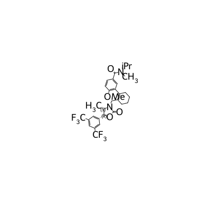 COc1ccc(C(=O)N(C)C(C)C)cc1C1=C(CN2C(=O)O[C@H](c3cc(C(F)(F)F)cc(C(F)(F)F)c3)[C@@H]2C)CCCC1